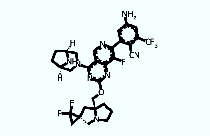 N#Cc1c(-c2ncc3c(N4C[C@H]5CC[C@@H](C4)N5)nc(OC[C@@]45CCCN4C[C@@]4(CC4(F)F)C5)nc3c2F)cc(N)cc1C(F)(F)F